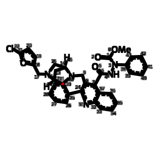 COC(=O)N(NC(=O)c1c(CN2C[C@H]3C[C@@H]2CN3Cc2ccc(Cl)o2)c(-c2ccccc2)nc2ccccc12)c1ccccc1